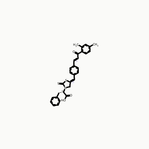 Cc1ccc(C(=O)/C=C/c2ccc(/C=C3/CN([C@@H](Cc4ccccc4)C(=O)O)C(=S)S3)cc2)c(C)c1